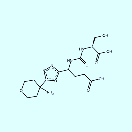 NC1(c2nnc(C(CCC(=O)O)NC(=O)N[C@@H](CO)C(=O)O)o2)CCOCC1